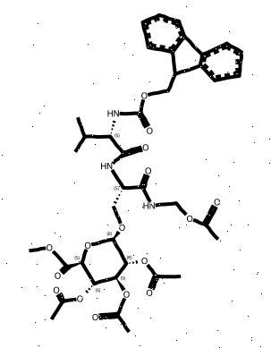 COC(=O)[C@H]1O[C@@H](OC[C@H](NC(=O)[C@@H](NC(=O)OCC2c3ccccc3-c3ccccc32)C(C)C)C(=O)NCOC(C)=O)[C@H](OC(C)=O)[C@@H](OC(C)=O)[C@@H]1OC(C)=O